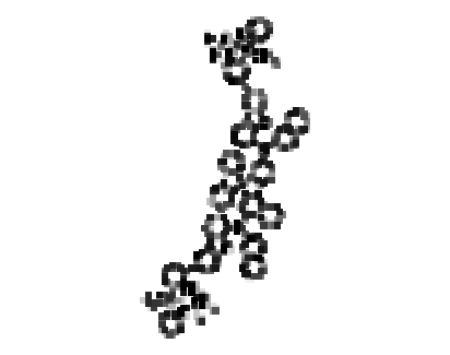 CC(C)(C)[Si](C)(c1ccccc1)c1cccc(-c2ccc3oc4c(N(c5ccc6c(c5)C5(c7ccccc7-c7ccccc75)c5cc(N(c7ccc8ccccc8c7)c7cccc8c7oc7ccc(-c9cccc([Si](C)(c%10ccccc%10)C(C)(C)C)c9)cc78)c7ccccc7c5-6)c5ccc6ccccc6c5)cccc4c3c2)c1